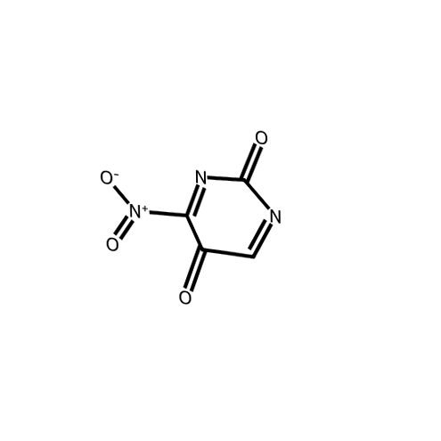 O=C1N=CC(=O)C([N+](=O)[O-])=N1